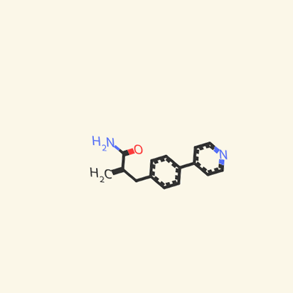 C=C(Cc1ccc(-c2ccncc2)cc1)C(N)=O